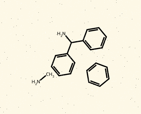 CN.NC(c1ccccc1)c1ccccc1.c1ccccc1